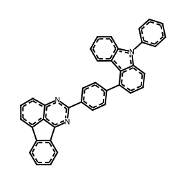 c1ccc(-n2c3ccccc3c3c(-c4ccc(-c5nc6c7c(cccc7n5)-c5ccccc5-6)cc4)cccc32)cc1